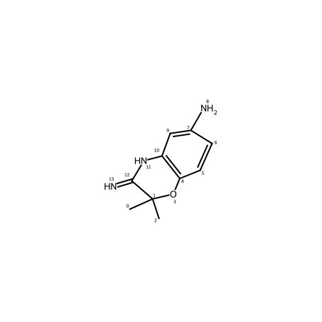 CC1(C)Oc2ccc(N)cc2NC1=N